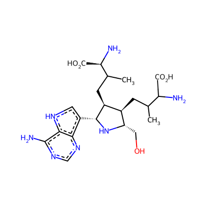 CC(C[C@@H]1[C@H](CC(C)[C@H](N)C(=O)O)[C@@H](c2c[nH]c3c(N)ncnc23)N[C@H]1CO)C(N)C(=O)O